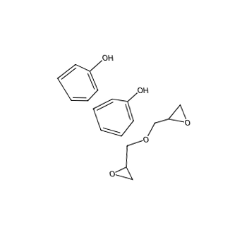 C(OCC1CO1)C1CO1.Oc1ccccc1.Oc1ccccc1